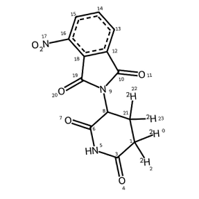 [2H]C1([2H])C(=O)NC(=O)C(N2C(=O)c3cccc([N+](=O)[O-])c3C2=O)C1([2H])[2H]